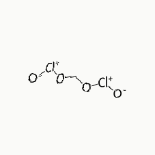 [O-][Cl+]OCO[Cl+][O-]